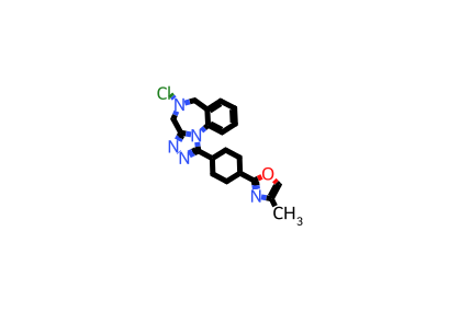 Cc1coc(C2CCC(c3nnc4n3-c3ccccc3CN(Cl)C4)CC2)n1